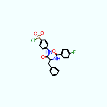 O=C(NC(Cc1ccccc1)C(=O)Nc1ccc(S(=O)(=O)Cl)cc1)c1ccc(F)cc1